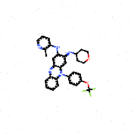 Cc1ncccc1Nc1cc2nc3ccccc3n(-c3ccc(OC(F)(F)F)cc3)c-2c/c1=N\C1CCOCC1